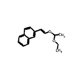 CCOC(C)OC=Cc1ccc2ccccc2c1